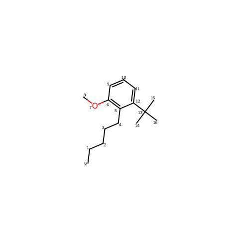 C[CH]CCCc1c(OC)cccc1C(C)(C)C